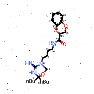 CCCCC1(CCCC)NC(=N)N(CCCCNC(=O)C2COc3ccccc3O2)CO1